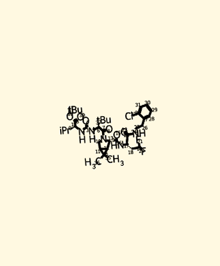 CC(C)[C@H](NC(=O)N[C@H](C(=O)N1CC2C([C@H]1C(=O)N[C@@H](CC(F)F)C(=O)NCCc1ccccc1Cl)C2(C)C)C(C)(C)C)C(=O)OC(C)(C)C